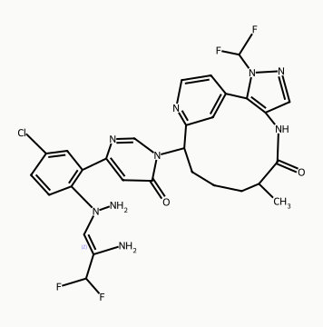 CC1CCCC(n2cnc(-c3cc(Cl)ccc3N(N)/C=C(\N)C(F)F)cc2=O)c2cc(ccn2)-c2c(cnn2C(F)F)NC1=O